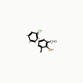 Cc1cccc(C=O)c1S.Clc1ccccc1